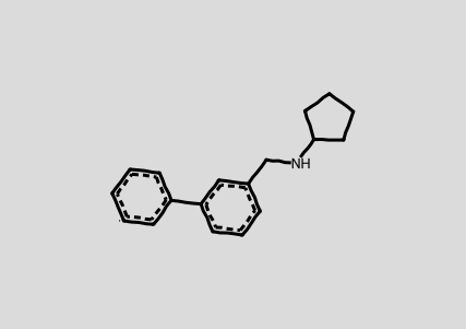 [c]1cccc(-c2cccc(CNC3CCCC3)c2)c1